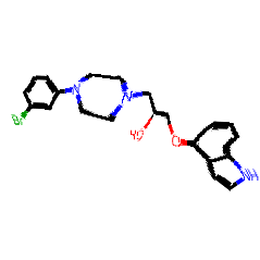 O[C@H](COc1cccc2[nH]ccc12)CN1CCN(c2cccc(Br)c2)CC1